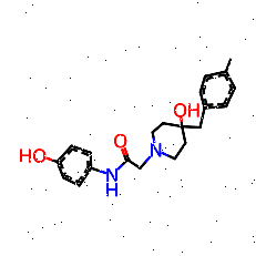 Cc1ccc(CC2(O)CCN(CC(=O)Nc3ccc(O)cc3)CC2)cc1